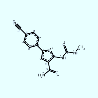 CNC(=O)Nc1sc(-c2ccc(C#N)cc2)cc1C(N)=O